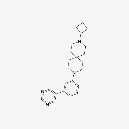 c1cc(-c2cncnc2)cc(N2CCC3(CC2)CCN(C2CCC2)CC3)c1